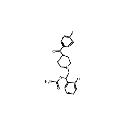 NC(=O)OC(CN1CCC(C(=O)c2ccc(F)cc2)CC1)c1ccccc1Cl